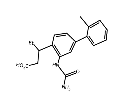 CCC(CC(=O)O)c1ccc(-c2ccccc2C)cc1NC(N)=O